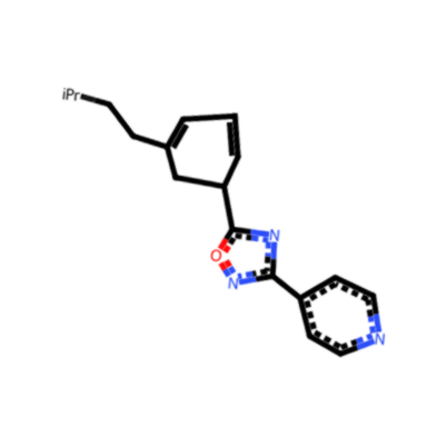 CC(C)CCC1=CC=CC(c2nc(-c3ccncc3)no2)C1